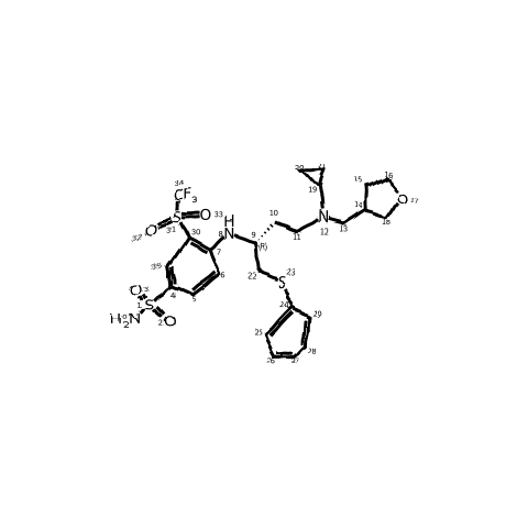 NS(=O)(=O)c1ccc(N[C@H](CCN(CC2CCOC2)C2CC2)CSc2ccccc2)c(S(=O)(=O)C(F)(F)F)c1